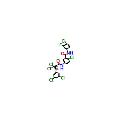 O=C(Nc1ccc(Cl)c(F)c1)c1cc(NC(=O)[C@H]2[C@H](c3cc(Cl)cc(Cl)c3)C2(Cl)Cl)ccc1Cl